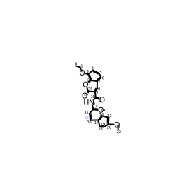 CCOc1cccc2cc(C(=O)NC(=O)/C=C\c3ccc(OC)cc3)c(=O)oc12